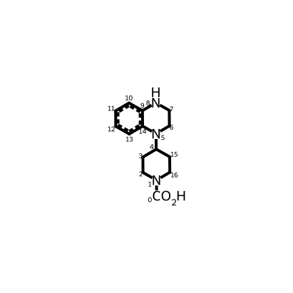 O=C(O)N1CCC(N2CCNc3ccccc32)CC1